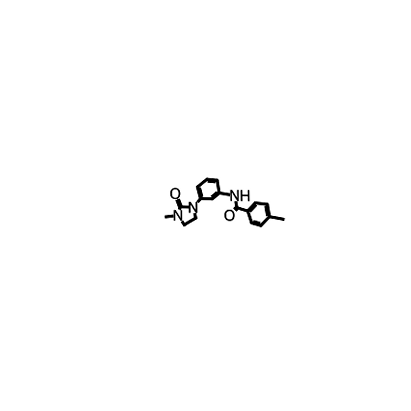 Cc1ccc(C(=O)Nc2cccc(N3CCN(C)C3=O)c2)cc1